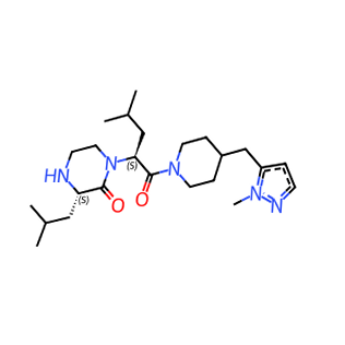 CC(C)C[C@@H]1NCCN([C@@H](CC(C)C)C(=O)N2CCC(Cc3ccnn3C)CC2)C1=O